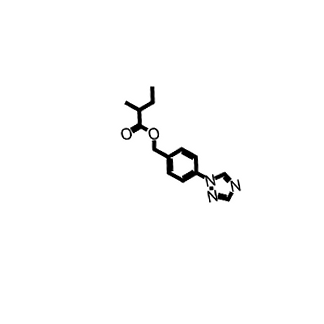 CCC(C)C(=O)OCc1ccc(-n2cncn2)cc1